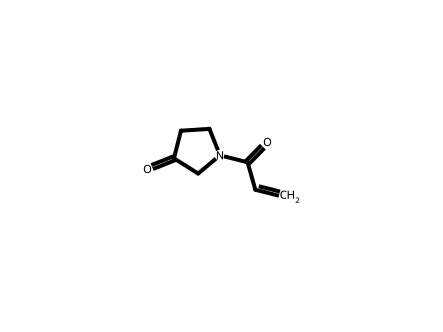 C=CC(=O)N1CCC(=O)C1